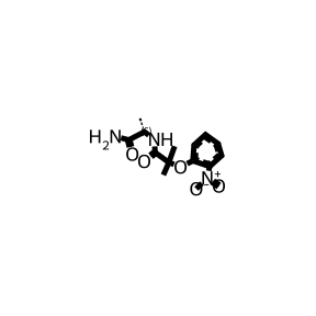 C[C@H](NC(=O)C(C)(C)Oc1ccccc1[N+](=O)[O-])C(N)=O